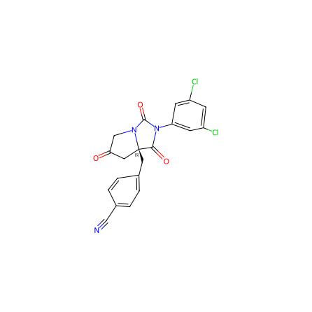 N#Cc1ccc(C[C@@]23CC(=O)CN2C(=O)N(c2cc(Cl)cc(Cl)c2)C3=O)cc1